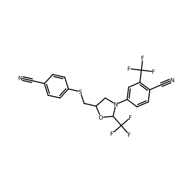 N#Cc1ccc(SCC2CN(c3ccc(C#N)c(C(F)(F)F)c3)C(C(F)(F)F)O2)cc1